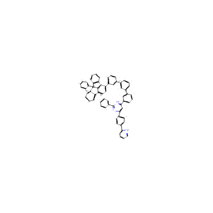 c1ccc(-c2nc(-c3ccc(-c4ccccn4)cc3)cc(-c3cccc(-c4cccc(-c5cccc(-c6ccc7c(c6)C(c6ccccc6)(c6ccccc6)c6ccccc6-7)c5)c4)c3)n2)cc1